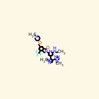 CCNc1cc(-c2c(-c3nncn3C)cnn2C)cc(N2Cc3c(cc(COC4CCN(C)CC4)cc3C(F)(F)F)C2=O)n1